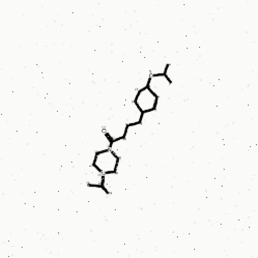 CC(C)OC1CCC(CCCC(=O)N2CCN(C(C)C)CC2)CC1